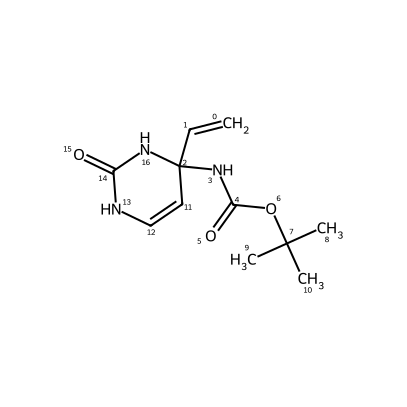 C=CC1(NC(=O)OC(C)(C)C)C=CNC(=O)N1